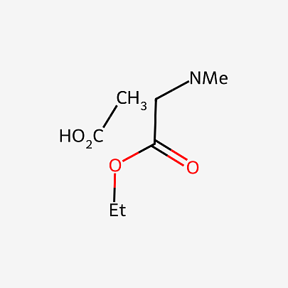 CC(=O)O.CCOC(=O)CNC